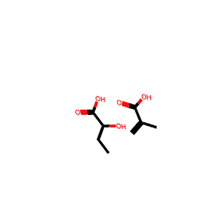 C=C(C)C(=O)O.CCC(O)C(=O)O